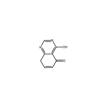 O=C1C=CCc2ncnc(O)c21